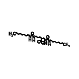 CCCCCCCCNC(=O)NCCCC(CNC(=O)NCCCCCCCC)C(=O)O